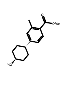 COC(=O)c1ccc([C@H]2CC[C@H](O)CC2)cc1C